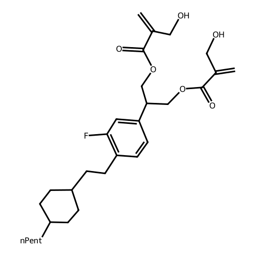 C=C(CO)C(=O)OCC(COC(=O)C(=C)CO)c1ccc(CCC2CCC(CCCCC)CC2)c(F)c1